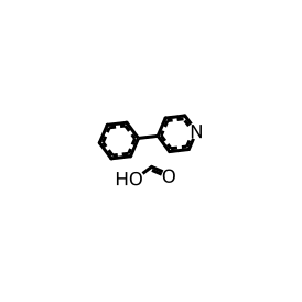 O=CO.c1ccc(-c2ccncc2)cc1